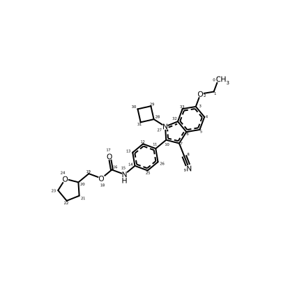 CCOc1ccc2c(C#N)c(-c3ccc(NC(=O)OCC4CCCO4)cc3)n(C3CCC3)c2c1